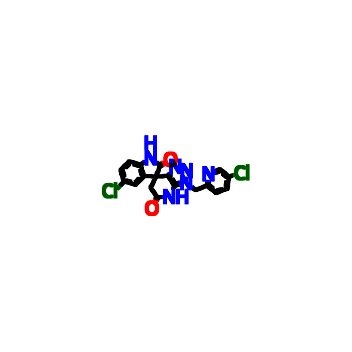 O=C1CC2(C(=O)Nc3ccc(Cl)cc32)c2nnn(Cc3ccc(Cl)cn3)c2N1